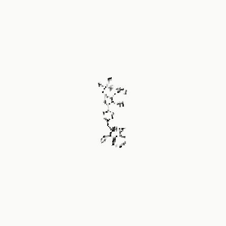 COc1ccccc1C(=O)NCc1ccc(-c2nn(CC(F)(F)F)c(N)c2C#N)cc1